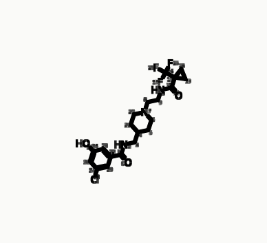 O=C(NCC1CCN(CCNC(=O)C2(C(F)(F)F)CC2)CC1)c1cc(O)cc(Cl)c1